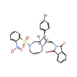 O=C1c2ccccc2C(=O)N1C[C@@H]1[C@H](c2ccc(Br)cc2)[C@@H]2CN(S(=O)(=O)c3ccccc3[N+](=O)[O-])C/C=C\CN12